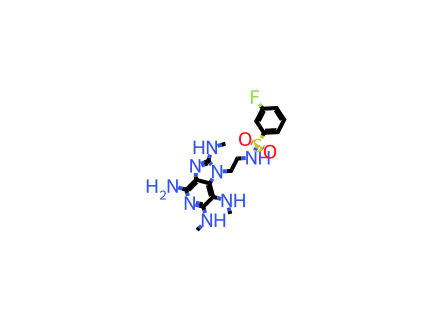 CNc1nc(N)c2nc(NC)n(CCNS(=O)(=O)c3cccc(F)c3)c2c1NC